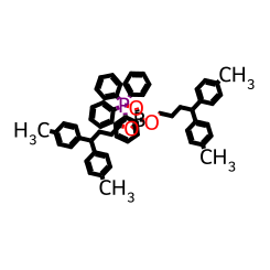 Cc1ccc(C(CCCOB(OCCCC(c2ccc(C)cc2)c2ccc(C)cc2)OP(c2ccccc2)(c2ccccc2)(c2ccccc2)c2ccccc2)c2ccc(C)cc2)cc1